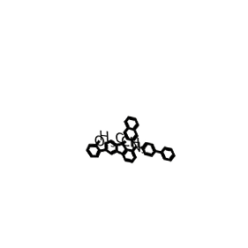 CC1(C)c2cc3oc4ccccc4c3cc2-c2cccc(N(c3ccc(-c4ccccc4)cc3)c3ccc4ccccc4c3)c21